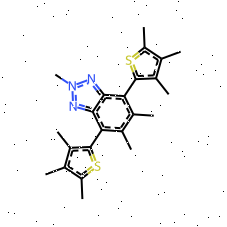 Cc1sc(-c2c(C)c(C)c(-c3sc(C)c(C)c3C)c3nn(C)nc23)c(C)c1C